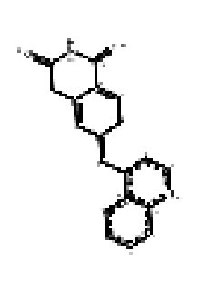 O=C1CC2=C/C(=C/c3ccnc4ccccc34)CC=C2C(=O)N1